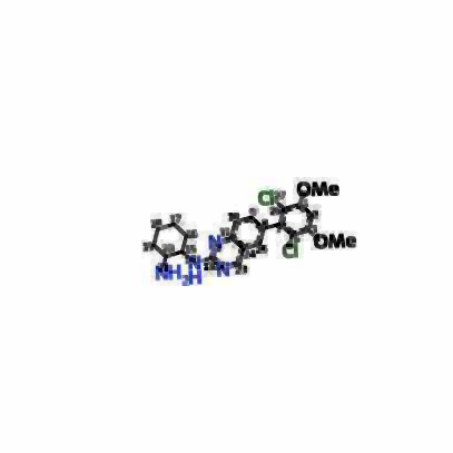 COc1cc(OC)c(Cl)c(-c2ccc3nc(NC4CCCC[C@@H]4N)ncc3c2)c1Cl